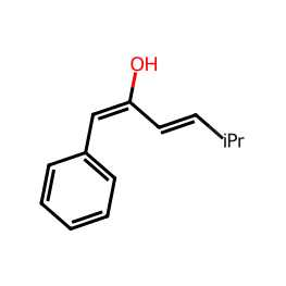 CC(C)/C=C/C(O)=C\c1ccccc1